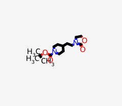 CC(C)(C)OC(=O)N1CCC(CCN2CCOC2=O)CC1